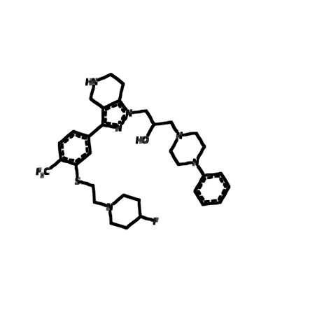 OC(CN1CCN(c2ccccc2)CC1)Cn1nc(-c2ccc(C(F)(F)F)c(SCCN3CCC(F)CC3)c2)c2c1CCNC2